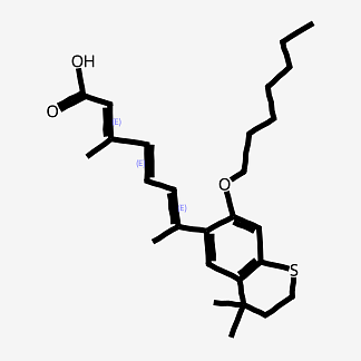 CCCCCCCOc1cc2c(cc1/C(C)=C/C=C/C(C)=C/C(=O)O)C(C)(C)CCS2